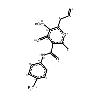 C=CCc1oc(C)c(C(=O)Nc2ccc(C(F)(F)F)cc2)c(=O)c1CCCCCCCC